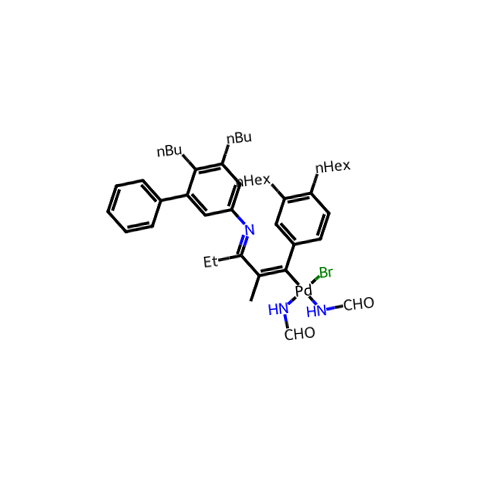 CCCCCCc1ccc([C](=C(C)C(CC)=Nc2cc(CCCC)c(CCCC)c(-c3ccccc3)c2)[Pd]([Br])([NH]C=O)[NH]C=O)cc1CCCCCC